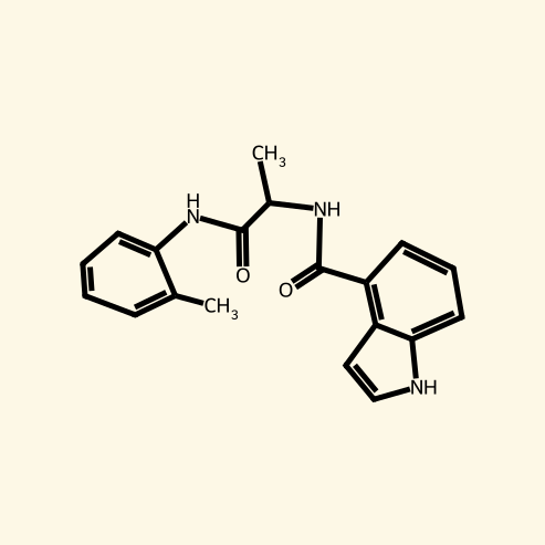 Cc1ccccc1NC(=O)C(C)NC(=O)c1cccc2[nH]ccc12